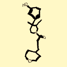 CC1CN(C(=O)CCC2CCOCC2)CCC1(C)c1cccc(O)c1